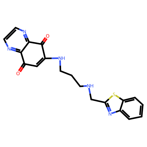 O=C1C=C(NCCCNCc2nc3ccccc3s2)C(=O)c2nccnc21